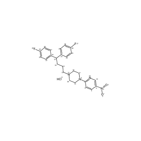 Cl.O=[N+]([O-])c1ccc(N2CCN(CCCC(c3ccc(F)cc3)c3ccc(F)cc3)CC2)nc1